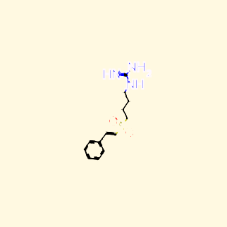 N=C(N)NCCCCS(=O)(=O)C=Cc1ccccc1